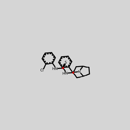 S=C(Nc1ccccc1Cl)NC1CC2CCC(C1)N2Cc1ccccc1